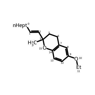 CCCCCCC/C=C/C1(C)CCc2cc(OCC)ccc2O1